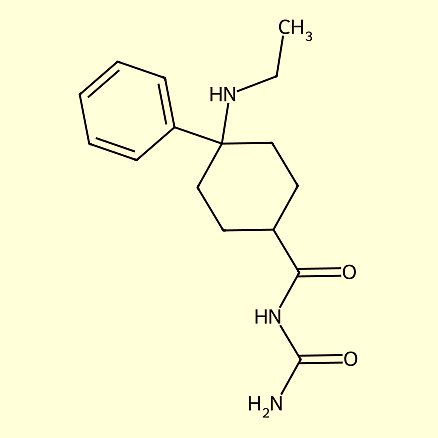 CCNC1(c2ccccc2)CCC(C(=O)NC(N)=O)CC1